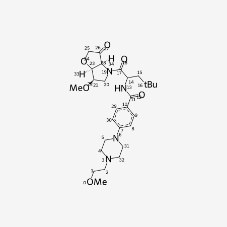 COCCN1CCN(c2ccc(C(=O)NC(CC(C)(C)C)C(=O)N3C[C@@H](OC)[C@H]4OCC(=O)[C@H]43)cc2)CC1